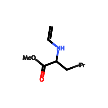 C=CNC(CC(C)C)C(=O)OC